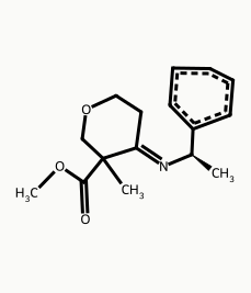 COC(=O)C1(C)COCC/C1=N\[C@H](C)c1ccccc1